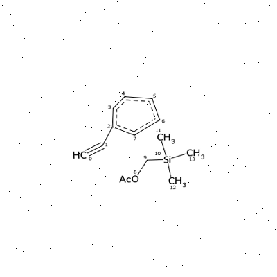 C#Cc1ccccc1.CC(=O)OC[Si](C)(C)C